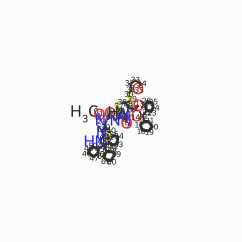 CO/N=C(\C(=O)NC1C(=O)N2C(C(=O)OC(c3ccccc3)c3ccccc3)=C(SCC3CCCO3)CS[C@H]12)c1csc(NC(c2ccccc2)(c2ccccc2)c2ccccc2)n1